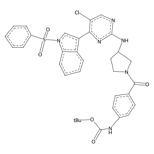 CC(C)(C)OC(=O)Nc1ccc(C(=O)N2CCC(Nc3ncc(Cl)c(-c4cn(S(=O)(=O)c5ccccc5)c5ccccc45)n3)C2)cc1